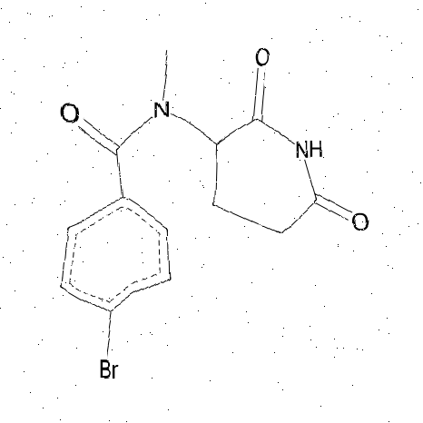 CN(C(=O)c1ccc(Br)cc1)C1CCC(=O)NC1=O